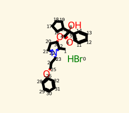 Br.CC1C(OC(=O)[C@](O)(c2ccccc2)C2CCCC2)CCN1CCCOc1ccccc1